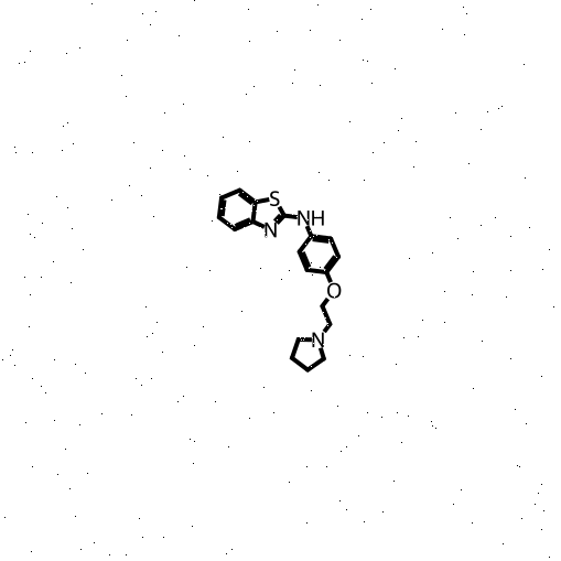 c1ccc2sc(Nc3ccc(OCCN4CCCC4)cc3)nc2c1